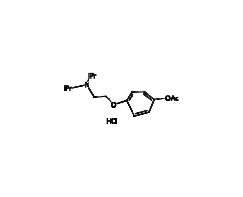 CC(=O)Oc1ccc(OCCN(C(C)C)C(C)C)cc1.Cl